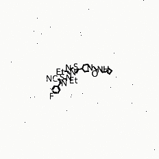 CCc1nc2sc(C3CCN(CC(=O)NCC4CCC4)CC3)cn2c1N(CC)c1nc(-c2ccc(F)cc2)c(C#N)s1